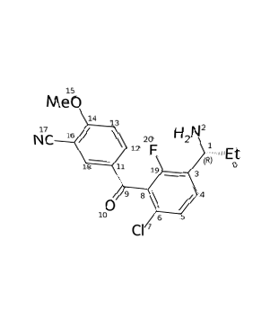 CC[C@@H](N)c1ccc(Cl)c(C(=O)c2ccc(OC)c(C#N)c2)c1F